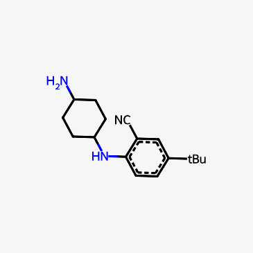 CC(C)(C)c1ccc(NC2CCC(N)CC2)c(C#N)c1